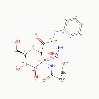 CCCC(=O)N[C@@H]1[C@@H](O)[C@H](O)[C@@H](CO)OC1(O)C(=O)[C@H](Cc1ccccc1)NC(=O)OC(C)(C)C